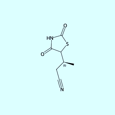 C[C@@H](CC#N)C1SC(=O)NC1=O